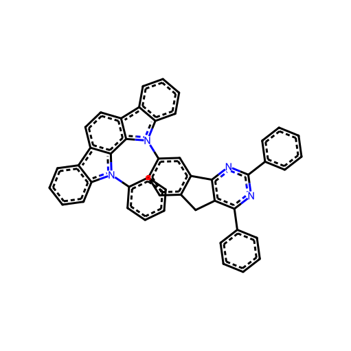 c1ccc(-c2nc(-c3ccccc3)c3c(n2)-c2cc(-n4c5ccccc5c5ccc6c7ccccc7n(-c7ccccc7)c6c54)ccc2C3)cc1